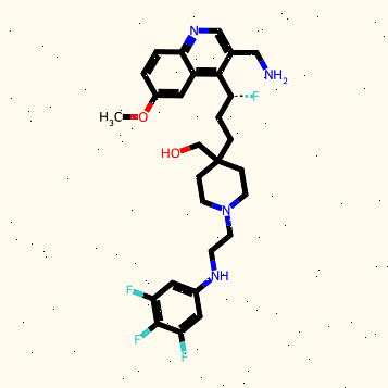 COc1ccc2ncc(CN)c([C@H](F)CCC3(CO)CCN(CCNc4cc(F)c(F)c(F)c4)CC3)c2c1